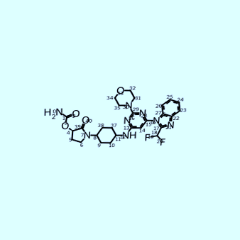 NC(=O)O[C@@H]1CCN(C2CCC(Nc3cc(-n4c(C(F)F)nc5ccccc54)nc(N4CCOCC4)n3)CC2)C1=O